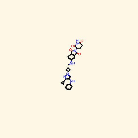 O=C1CCC(N2C(=O)c3ccc(NC[C@H]4C[C@H](n5cc(Nc6ccccc6)c(C6CC6)n5)C4)cc3C2=O)C(=O)N1